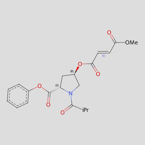 COC(=O)/C=C/C(=O)O[C@@H]1C[C@@H](C(=O)Oc2ccccc2)N(C(=O)C(C)C)C1